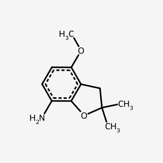 COc1ccc(N)c2c1CC(C)(C)O2